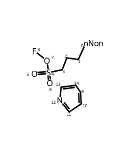 CCCCCCCCCCCCS(=O)(=O)OF.c1ccncc1